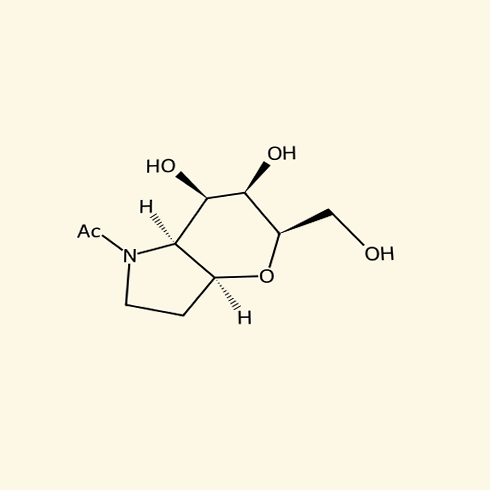 CC(=O)N1CC[C@@H]2O[C@H](CO)[C@H](O)[C@H](O)[C@@H]21